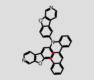 c1ccc(N(c2ccc3oc4cnccc4c3c2)c2ccc3oc4cnccc4c3c2)c(-c2ccc3ccccc3c2)c1